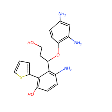 Nc1ccc(OC(CCO)c2c(N)ccc(O)c2-c2cccs2)c(N)c1